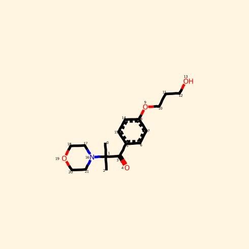 CC(C)(C(=O)c1ccc(OCCCO)cc1)N1CCOCC1